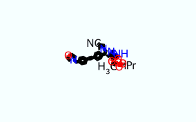 CC(C)OC(=O)OC(C)Oc1c(C[C@H](CN2CC(C#N)C2)c2ccc(C#Cc3ccc(CN4CCOCC4)cc3)cc2)nc[nH]c1=O